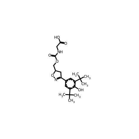 CC(C)(C)c1cc(C2=NOC(COC(=O)NCC(=O)O)C2)cc(C(C)(C)C)c1O